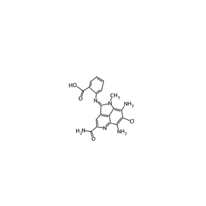 CN1C(=Nc2ccccc2C(=O)O)c2cc(C(N)=O)nc3c(N)c(Cl)c(N)c1c23